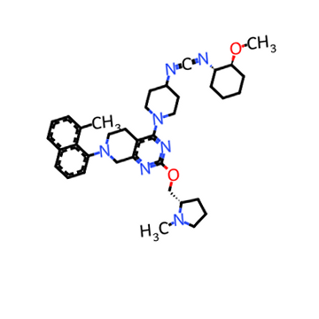 CO[C@H]1CCCC[C@@H]1N=C=NC1CCN(c2nc(OC[C@@H]3CCCN3C)nc3c2CCN(c2cccc4cccc(C)c24)C3)CC1